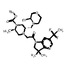 CCC1COCCN1C[C@H]1CN(C(=O)OC(C)(C)C)[C@H](C)CN1CC(=O)N1CC(C)(C)c2ncc(C(C)(F)F)cc21